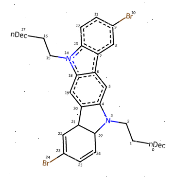 CCCCCCCCCCCCN1c2cc3c4cc(Br)ccc4n(CCCCCCCCCCCC)c3cc2C2C=C(Br)C=CC21